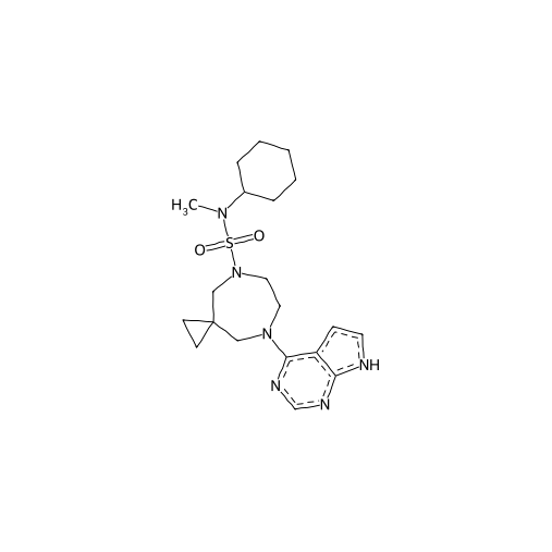 CN(C1CCCCC1)S(=O)(=O)N1CCN(c2ncnc3[nH]ccc23)CC2(CC2)C1